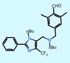 CCCCN(Cc1cc(C)c(C=O)c(C)c1)Cc1c(C(F)(F)F)nc(-c2ccccc2)n1CCCC